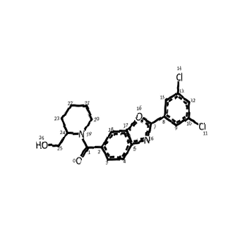 O=C(c1ccc2nc(-c3cc(Cl)cc(Cl)c3)oc2c1)N1CCCCC1CO